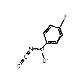 O=C=N[S+]([O-])c1ccc(F)cc1